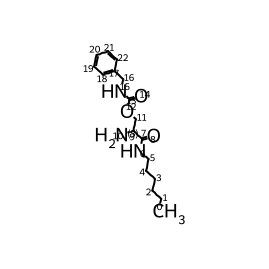 CCCCCCNC(=O)[C@@H](N)COC(=O)NCc1ccccc1